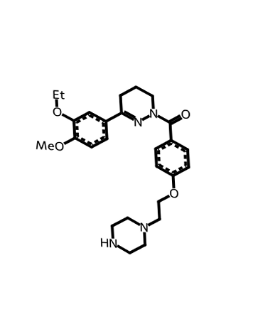 CCOc1cc(C2=NN(C(=O)c3ccc(OCCN4CCNCC4)cc3)CCC2)ccc1OC